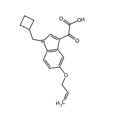 C=CCOc1ccc2c(c1)c(C(=O)C(=O)O)cn2CC1CCC1